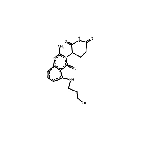 Cc1nc2cccc(NCCCO)c2c(=O)n1C1CCC(=O)NC1=O